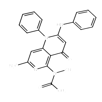 CC(=O)N(C)c1nc(C)cc2c1c(=O)cc(Nc1ccccc1)n2-c1ccccc1